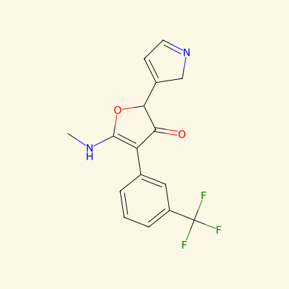 CNC1=C(c2cccc(C(F)(F)F)c2)C(=O)C(C2=CC=NC2)O1